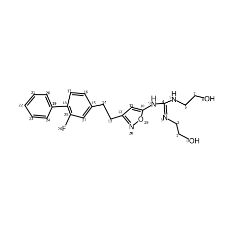 OCCN=C(NCCO)Nc1cc(CCc2ccc(-c3ccccc3)c(F)c2)no1